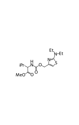 CCN(CC)c1nc(COC(=O)NC(C(=O)OC)C(C)C)cs1